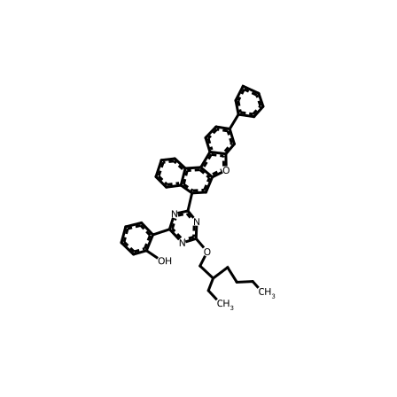 CCCCC(CC)COc1nc(-c2ccccc2O)nc(-c2cc3oc4cc(-c5ccccc5)ccc4c3c3ccccc23)n1